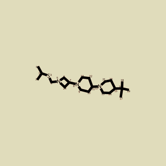 CC(C)SCN1CC(N2CCC(N3CCC(C(C)(C)C)CC3)CC2)C1